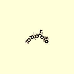 COc1cc(N2CCC(S(C)(=O)=O)CC2)c(C)cc1Nc1nccc(-c2sc(C(C)C)nc2-c2cccc(NS(=O)(=O)c3c(F)cccc3F)c2)n1